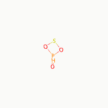 O=[PH]1OSO1